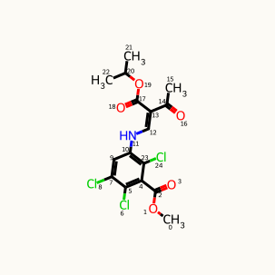 COC(=O)c1c(Cl)c(Cl)cc(NC=C(C(C)=O)C(=O)OC(C)C)c1Cl